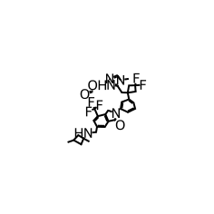 CC1CC(C)(NCc2cc3c(c(C(F)(F)F)c2)CN(c2cccc(C4(Cc5nncn5C)CC(F)(F)C4)c2)C3=O)C1.O=CO